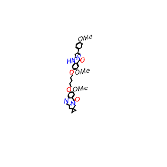 COc1ccc(C2=CN3C(=O)c4cc(OC)c(OCCCCCOc5cc6c(cc5OC)C(=O)N5CC7(CC7)CC5C=N6)cc4NC3C2)cc1